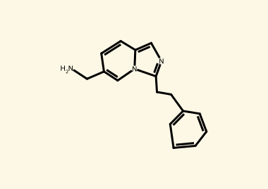 NCc1ccc2cnc(CCc3ccccc3)n2c1